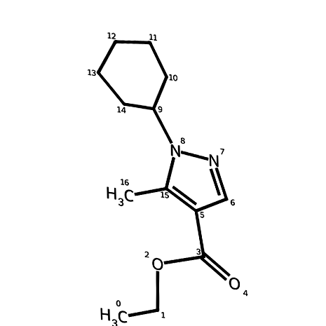 CCOC(=O)c1cnn(C2CCCCC2)c1C